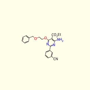 CCOC(=O)c1c(N)nc(-c2cccc(C#N)c2)nc1OCCOCc1ccccc1